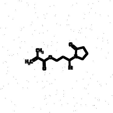 C=C(C)C(=O)OCCC(CC)N1CCCC1=O